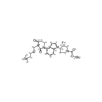 CC(C)(C)OC(=O)N1CC[C@H](n2ccc3c(N4CCC(=O)N(COCC[Si](C)(C)C)C4=O)cccc32)[C@H](F)C1